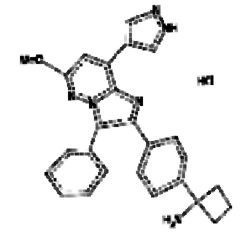 COc1cc(-c2cn[nH]c2)c2nc(-c3ccc(C4(N)CCC4)cc3)c(-c3ccccc3)n2n1.Cl